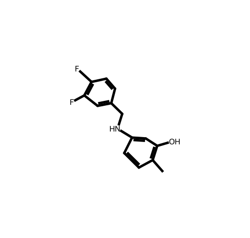 Cc1ccc(NCc2ccc(F)c(F)c2)cc1O